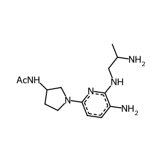 CC(=O)NC1CCN(c2ccc(N)c(NCC(C)N)n2)C1